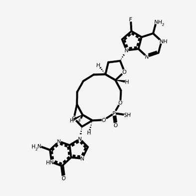 Nc1nc2c(ncn2[C@@H]2OC3CCC[C@H]4C[C@H](n5cc(F)c6c5N=CNC6N)O[C@@H]4COP(=O)(S)O[C@@H]2[C@@H]3F)c(=O)[nH]1